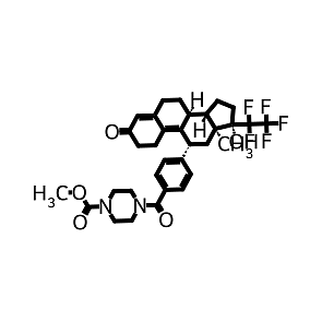 COC(=O)N1CCN(C(=O)c2ccc([C@H]3C[C@@]4(C)[C@@H](CC[C@@]4(O)C(F)(F)C(F)(F)F)[C@@H]4CCC5=CC(=O)CCC5=C43)cc2)CC1